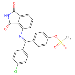 O=C1NC(=O)c2c(N=C(c3ccc(Cl)cc3)c3ccc(OS(=O)(=O)C(F)(F)F)cc3)cccc21